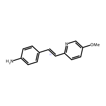 COc1ccc(/C=C/c2ccc(N)cc2)nc1